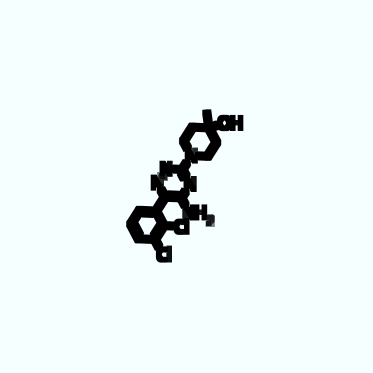 CC1(O)CCN(c2nnc(-c3cccc(Cl)c3Cl)c(N)n2)CC1